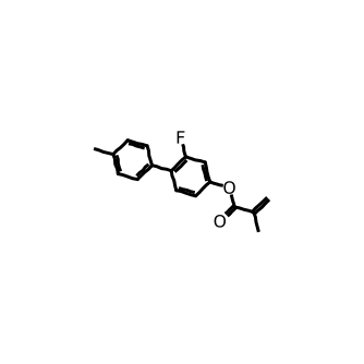 C=C(C)C(=O)Oc1ccc(-c2ccc(C)cc2)c(F)c1